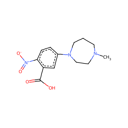 CN1CCCN(c2ccc([N+](=O)[O-])c(C(=O)O)c2)CC1